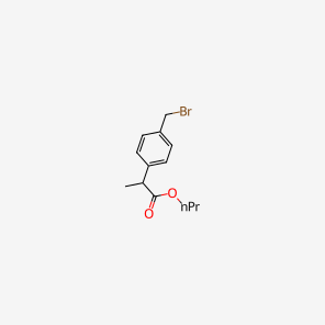 CCCOC(=O)C(C)c1ccc(CBr)cc1